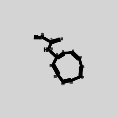 CNC(=S)Nc1ccccccccc1